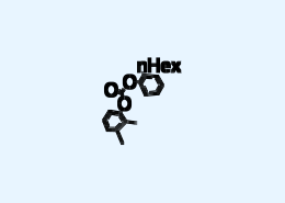 CCCCCCc1ccccc1OC(=O)Oc1cccc(C)c1C